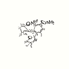 COc1ccc(C2=NC(C)(C)CO2)c(-c2ccccc2OC)c1